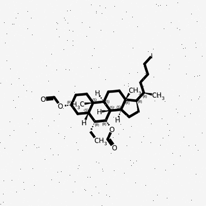 CC[C@H]1[C@@H](OC=O)[C@@H]2[C@H](CC[C@]3(C)[C@@H]([C@H](C)CCCI)CC[C@@H]23)[C@@]2(C)CC[C@@H](OC=O)C[C@@H]12